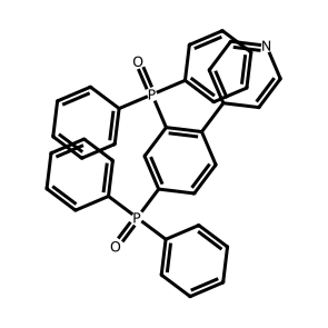 O=P(c1ccccc1)(c1ccccc1)c1ccc(-c2ccncc2)c(P(=O)(c2ccccc2)c2ccccc2)c1